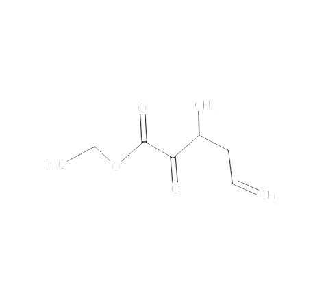 C=CCC(C)C(=O)C(=O)OCC